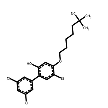 CCc1cc(-c2cc(Cl)cc(Cl)c2)c(O)cc1OCCCCCC(C)(C)C#N